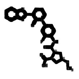 CO[C@@H]1C[C@H](C(=O)Nc2ccc(-n3cccc(-c4nc5ccccc5s4)c3=O)cc2F)N(C(=O)O)C1